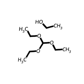 CCO.CCOC(OCC)OCC